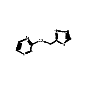 [c]1nccnc1OCc1nccs1